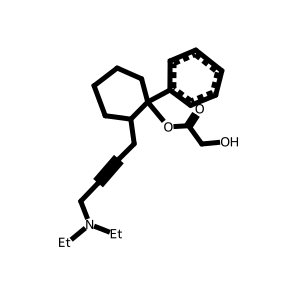 CCN(CC)CC#CCC1CCCCC1(OC(=O)CO)c1ccccc1